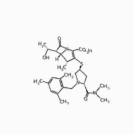 Cc1cc(C)c(CN2C[C@@H](SC3=C(C(=O)O)N4C(=O)[C@H]([C@@H](C)O)[C@H]4[C@H]3C)C[C@H]2C(=O)N(C)C)c(C)c1